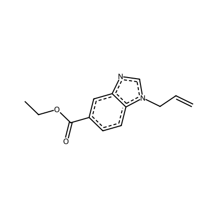 C=CCn1cnc2cc(C(=O)OCC)ccc21